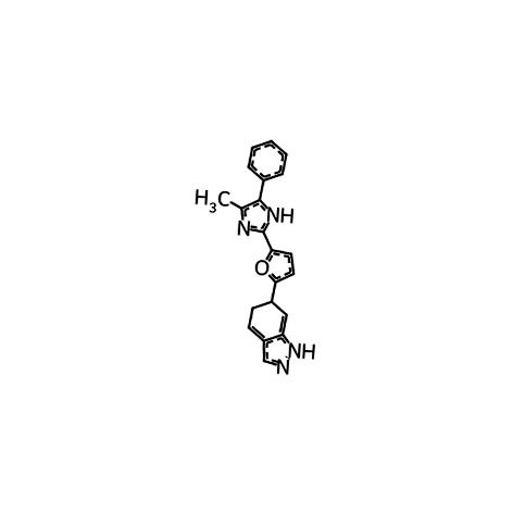 Cc1nc(-c2ccc(C3C=c4[nH]ncc4=CC3)o2)[nH]c1-c1ccccc1